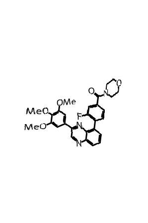 COc1cc(-c2cnc3cccc(-c4ccc(C(=O)N5CCOCC5)cc4F)c3n2)cc(OC)c1OC